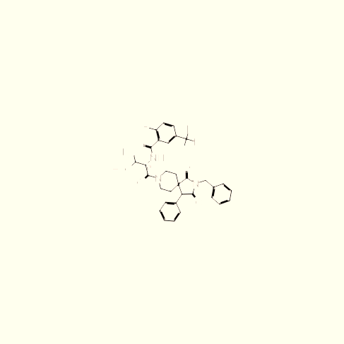 CC(C)[C@@H](NC(=O)c1cc(C(F)(F)F)ccc1F)C(=O)N1CCC2(CC1)C(=O)N(Cc1ccccc1)C(=O)C2c1ccccc1